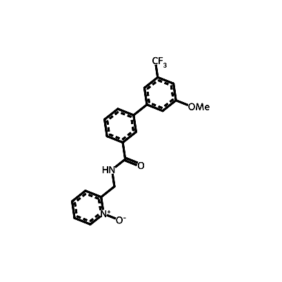 COc1cc(-c2cccc(C(=O)NCc3cccc[n+]3[O-])c2)cc(C(F)(F)F)c1